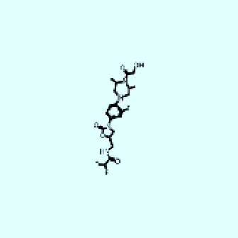 CC1CN(c2ccc(N3CC(CNC(=O)C(F)F)OC3=O)cc2F)CC(C)N1C(=O)CO